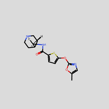 Cc1cnc(Oc2ccc(C(=O)N[C@H]3CN4CCC3CC4)s2)o1